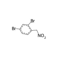 O=[N+]([O-])Cc1ccc(Br)cc1Br